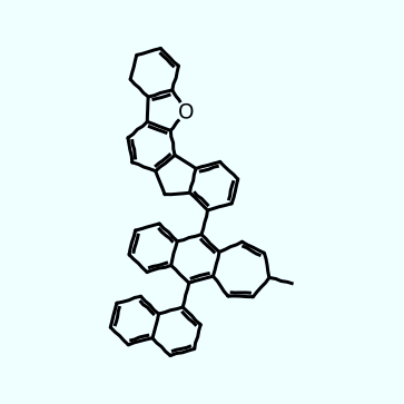 CC1C=Cc2c(c(-c3cccc4ccccc34)c3ccccc3c2-c2cccc3c2Cc2ccc4c5c(oc4c2-3)C=CCC5)C=C1